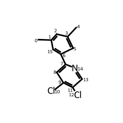 Cc1cc(C)cc(-c2cc(Cl)c(Cl)cn2)c1